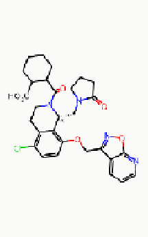 O=C(O)C1CCCCC1C(=O)N1CCc2c(Cl)ccc(OCc3noc4ncccc34)c2[C@H]1CN1CCCC1=O